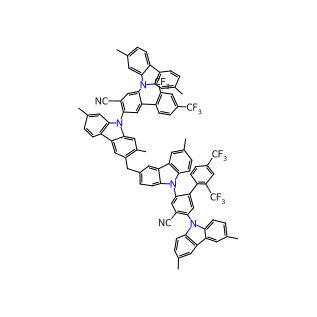 Cc1ccc2c(c1)c1cc(C)ccc1n2-c1cc(-c2ccc(C(F)(F)F)cc2C(F)(F)F)c(-n2c3ccc(C)cc3c3cc(Cc4cc5c6ccc(C)cc6n(-c6cc(-c7ccc(C(F)(F)F)cc7C(F)(F)F)c(-n7c8cc(C)ccc8c8ccc(C)cc87)cc6C#N)c5cc4C)ccc32)cc1C#N